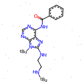 CC(C)(C)NCCNc1nc2c(NC(=O)c3ccccc3)ncnc2n1C(C)(C)C